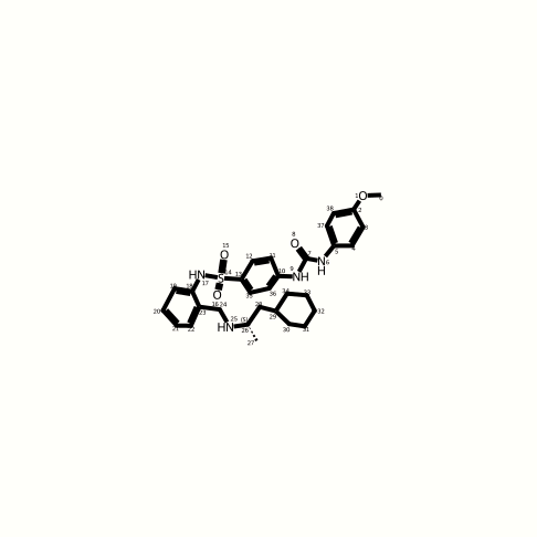 COc1ccc(NC(=O)Nc2ccc(S(=O)(=O)Nc3ccccc3CN[C@@H](C)CC3CCCCC3)cc2)cc1